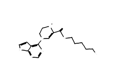 NCCCCCNC(=O)C1=CN(c2ncnc3[nH]ccc23)CC[S+]1[O-]